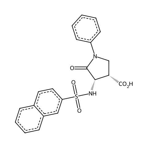 O=C(O)[C@H]1CN(c2ccccc2)C(=O)[C@H]1NS(=O)(=O)c1ccc2ccccc2c1